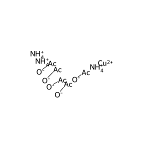 CC(=O)[O-].CC(=O)[O-].CC(=O)[O-].CC(=O)[O-].CC(=O)[O-].[Cu+2].[NH4+].[NH4+].[NH4+]